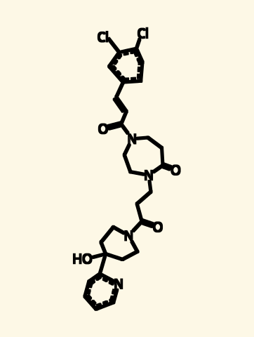 O=C(C=Cc1ccc(Cl)c(Cl)c1)N1CCC(=O)N(CCC(=O)N2CCC(O)(c3ccccn3)CC2)CC1